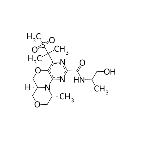 CC(CO)NC(=O)c1nc2c(c(C(C)(C)S(C)(=O)=O)n1)OC[C@@H]1COC[C@@H](C)N21